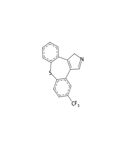 FC(F)(F)c1ccc2c(c1)C1=C(CN=C1)c1ccccc1S2